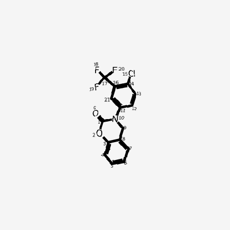 O=C1Oc2ccccc2CN1c1ccc(Cl)c(C(F)(F)F)c1